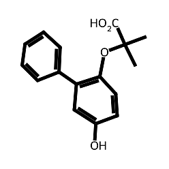 CC(C)(Oc1ccc(O)cc1-c1ccccc1)C(=O)O